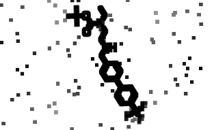 CCN(CCNCc1ccc(-c2ccc(C(F)(F)F)cc2)cc1)C(=O)OC(C)(C)C